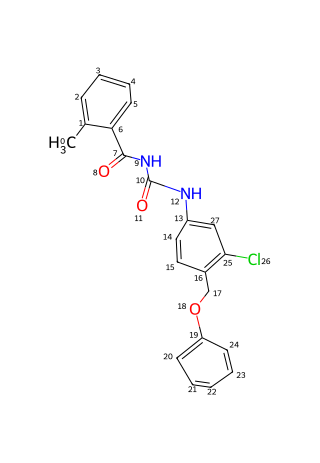 Cc1ccccc1C(=O)NC(=O)Nc1ccc(COc2ccccc2)c(Cl)c1